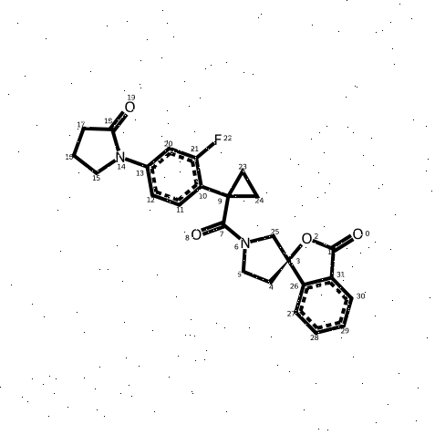 O=C1O[C@]2(CCN(C(=O)C3(c4ccc(N5CCCC5=O)cc4F)CC3)C2)c2ccccc21